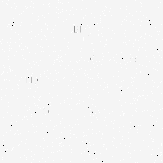 BC[C@@]1(C)OC(=O)C2CCCN2C1=O